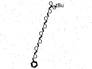 CC(C)(C)OC(=O)COCCOCCOCCOCCOCCOCCOCc1ccccc1